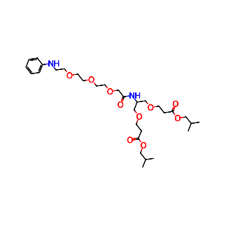 CC(C)COC(=O)CCOCC(COCCC(=O)OCC(C)C)NC(=O)COCCOCCOCCNc1ccccc1